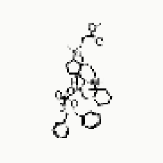 COC(=O)CC[C@@H](C)C1CC[C@H]2C3[C@H](OP(=O)(OCc4ccccc4)OCc4ccccc4)CC4CCCCC4(C)[C@H]3CCC12C